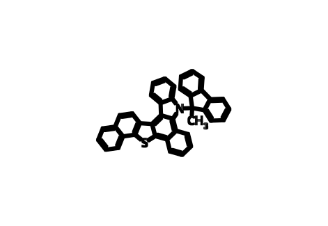 CC1(n2c3ccccc3c3c4c5ccc6ccccc6c5sc4c4ccccc4c32)c2ccccc2-c2ccccc21